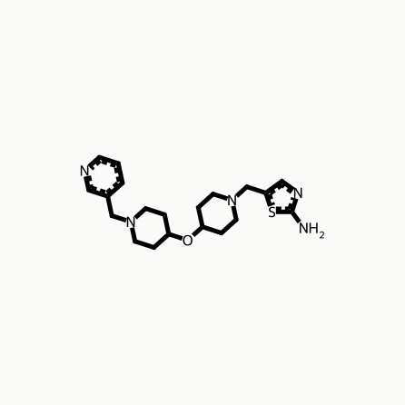 Nc1ncc(CN2CCC(OC3CCN(Cc4cccnc4)CC3)CC2)s1